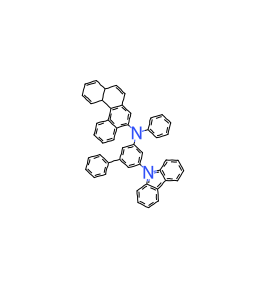 C1=CC2C=Cc3cc(N(c4ccccc4)c4cc(-c5ccccc5)cc(-n5c6ccccc6c6ccccc65)c4)c4ccccc4c3C2C=C1